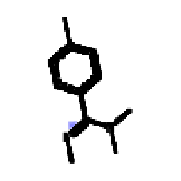 C/N=C(/c1ccc(C)cc1)N(C)C